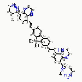 CCC1(CC)C2=C(CCC(/C=C/C3=CCC(C4N=NCC[C@H]4C)C4N=CC=NC34)=C2)C2=C1C=C(/C=C/C1C=CC(C3[C@H](/C=C\N)[N@@]3C)=C3N=CCNC31)CC2